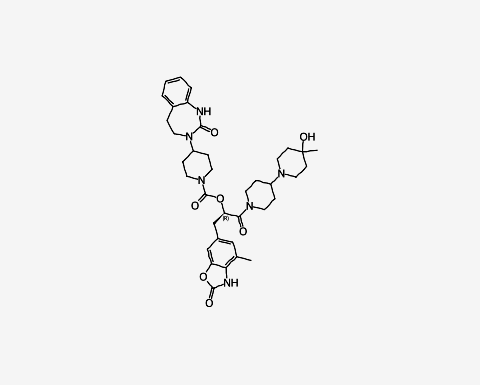 Cc1cc(C[C@@H](OC(=O)N2CCC(N3CCc4ccccc4NC3=O)CC2)C(=O)N2CCC(N3CCC(C)(O)CC3)CC2)cc2oc(=O)[nH]c12